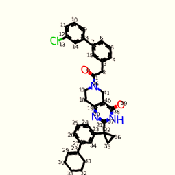 O=C(Cc1cccc(-c2cccc(Cl)c2)c1)N1CCc2nc(C3(c4cccc(C5=CCCCC5)c4)CC3)[nH]c(=O)c2C1